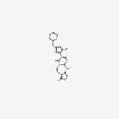 CN1C(=O)C(NC(=O)c2nn(Cc3ccccc3)cc2F)CCc2c1cnn2C